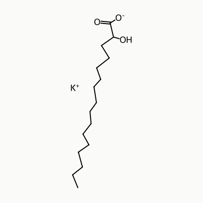 CCCCCCCCCCCCCCC(O)C(=O)[O-].[K+]